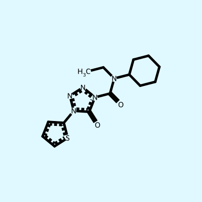 CCN(C(=O)n1nnn(-c2cccs2)c1=O)C1CCCCC1